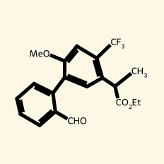 CCOC(=O)C(C)c1cc(-c2ccccc2C=O)c(OC)cc1C(F)(F)F